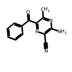 Cc1nc(N)c(C#N)nc1C(=O)c1ccccc1